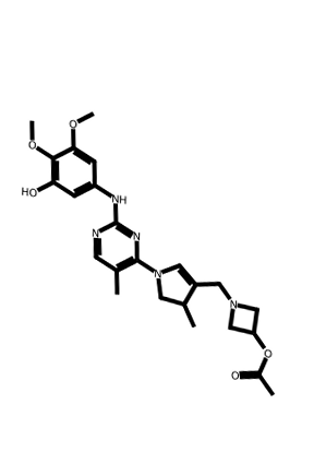 COc1cc(Nc2ncc(C)c(N3C=C(CN4CC(OC(C)=O)C4)C(C)C3)n2)cc(O)c1OC